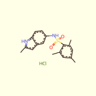 Cc1cc(C)c(S(=O)(=O)Nc2ccc3[nH]c(C)cc3c2)c(C)c1.Cl